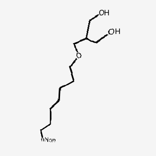 CCCCCCCCCCCCCCCCOCC(CO)CO